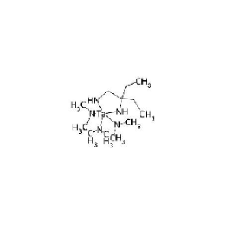 CCC1(CC)C[NH][Ta]([N](C)C)([N](C)C)([N](C)C)[NH]1